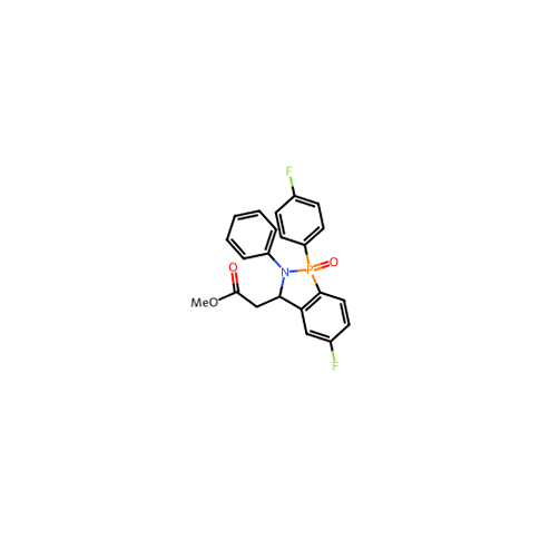 COC(=O)CC1c2cc(F)ccc2P(=O)(c2ccc(F)cc2)N1c1ccccc1